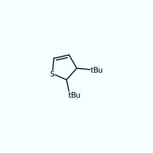 CC(C)(C)C1C=CSC1C(C)(C)C